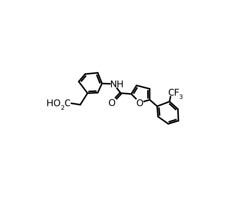 O=C(O)Cc1cccc(NC(=O)c2ccc(-c3ccccc3C(F)(F)F)o2)c1